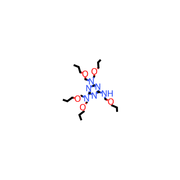 CCCOCNc1nc(N(COCCC)COCCC)nc(N(COCCC)COCCC)n1